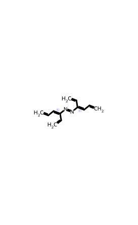 C=C/C=C(\C=C)N=N/C(C=C)=C/C=C